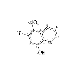 O=[N+]([O-])c1c(F)cc(O)c2ncccc12